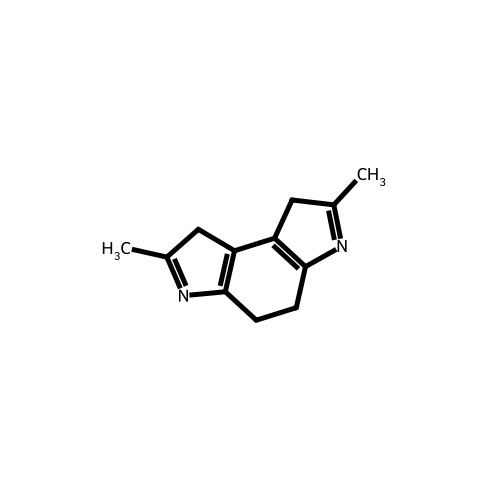 CC1=NC2=C(C1)C1=C(CC2)N=C(C)C1